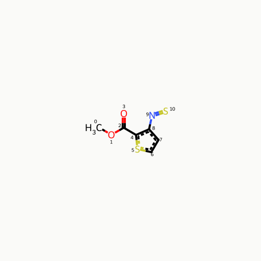 COC(=O)c1sccc1N=S